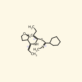 C/C=C(\N/C(S/C(=N\C)C1CCCCC1)=C(\C)CC)C1CCOC1